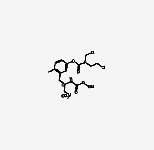 Cc1ccc(OC(=O)N(CCl)CCCl)cc1C[C@H](CC(=O)O)NC(=O)OC(C)(C)C